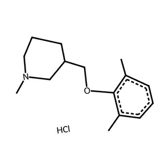 Cc1cccc(C)c1OCC1CCCN(C)C1.Cl